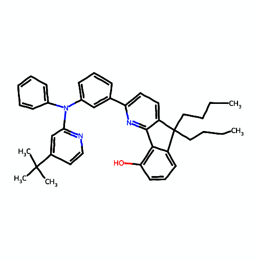 CCCCC1(CCCC)c2ccc(-c3cccc(N(c4ccccc4)c4cc(C(C)(C)C)ccn4)c3)nc2-c2c(O)cccc21